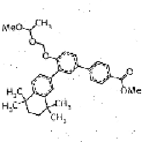 COC(=O)c1ccc(-c2ccc(OCOC(C)OC)c(-c3ccc4c(c3)C(C)(C)CCC4(C)C)c2)cc1